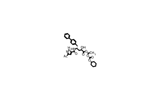 CC(=O)c1cc(C(=O)N[C@H](Cc2ccc(-c3ccccc3)cc2)C[C@@H](O)C(=O)OC(C)OC(=O)OC2CCCCC2)[nH]n1